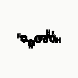 O=C(CN1CCN(c2cc(-c3ccc(F)cc3)cnn2)CC1)N[C@@H]1CCNC[C@H]1F